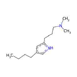 CCCCc1c[nH]c(CCCN(C)C)c1